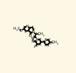 COc1cnc2ccn(C(C)c3nnc4c(F)cc(-c5ccc(C)cn5)cn34)c(=O)c2c1